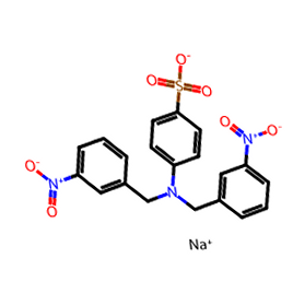 O=[N+]([O-])c1cccc(CN(Cc2cccc([N+](=O)[O-])c2)c2ccc(S(=O)(=O)[O-])cc2)c1.[Na+]